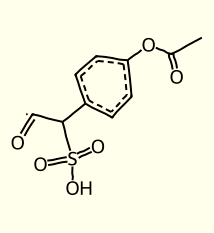 CC(=O)Oc1ccc(C([C]=O)S(=O)(=O)O)cc1